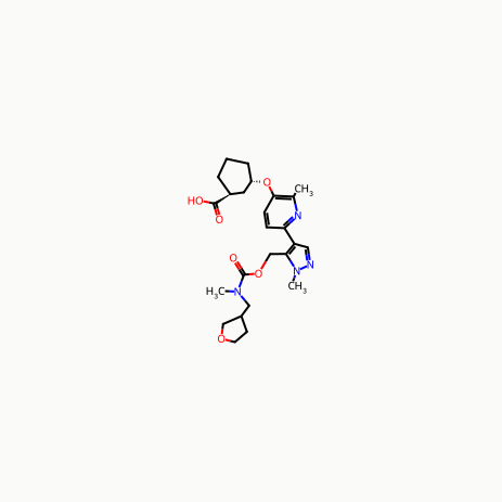 Cc1nc(-c2cnn(C)c2COC(=O)N(C)CC2CCOC2)ccc1O[C@H]1CCC[C@H](C(=O)O)C1